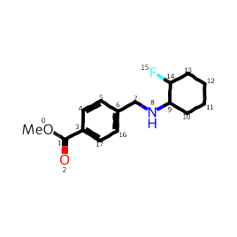 COC(=O)c1ccc(CNC2CCCCC2F)cc1